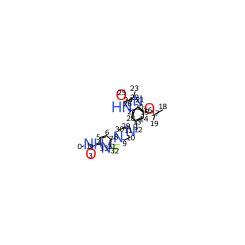 CNC(=O)c1ccc(N2CCN(Cc3cc(OC(C)C)c4nc(C)c(=O)[nH]c4c3)CC2)c(F)n1